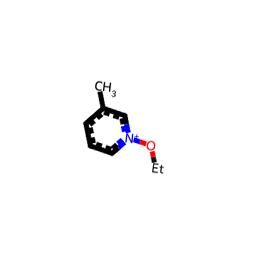 CCO[n+]1cccc(C)c1